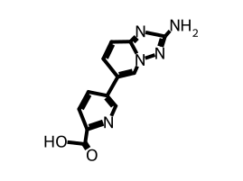 Nc1nc2ccc(-c3ccc(C(=O)O)nc3)cn2n1